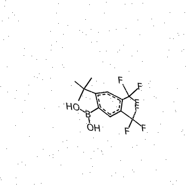 CC(C)(C)c1cc(C(F)(F)F)c(C(F)(F)F)cc1B(O)O